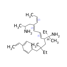 C=Cc1ccc(CC(C)(CC)CC(/C=C/C=C(\C=C/C)CC(C)N)[C@](C)(N)CC)cc1